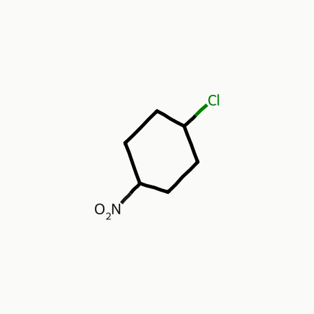 O=[N+]([O-])C1CCC(Cl)CC1